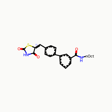 CCCCCCCCNC(=O)c1cccc(-c2ccc(/C=C3/SC(=O)NC3=O)cc2)c1